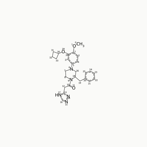 COc1ccc(N2CCN(C(=O)Cc3nnc[nH]3)C(Cc3ccccc3)C2)cc1OC1CCC1